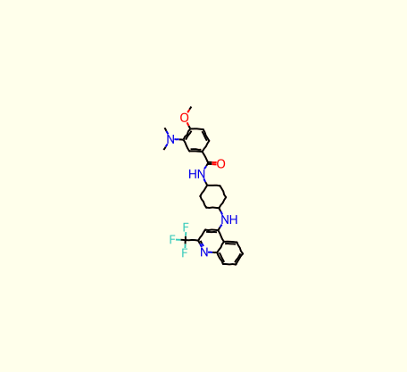 COc1ccc(C(=O)NC2CCC(Nc3cc(C(F)(F)F)nc4ccccc34)CC2)cc1N(C)C